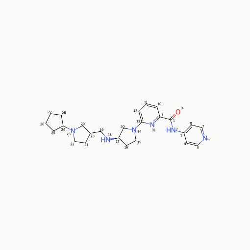 O=C(Nc1ccncc1)c1cccc(N2CC[C@@H](NCC3CCN(C4CCCC4)C3)C2)n1